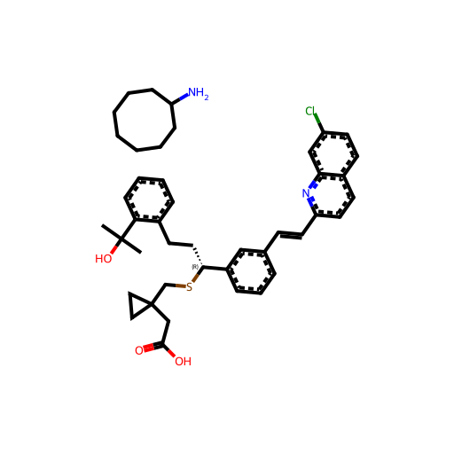 CC(C)(O)c1ccccc1CC[C@@H](SCC1(CC(=O)O)CC1)c1cccc(C=Cc2ccc3ccc(Cl)cc3n2)c1.NC1CCCCCCC1